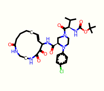 CC(C)[C@@H](NC(=O)OC(C)(C)C)C(=O)N1CCN(c2ccc(Cl)cc2)[C@@H](C(=O)NC2/C=C/CCCCC(=O)NCCNC(=O)C2=O)C1